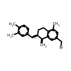 C=C1/C(=C/c2ccc(C)c(C)c2)CCc2c(C)cc(CBr)cc21